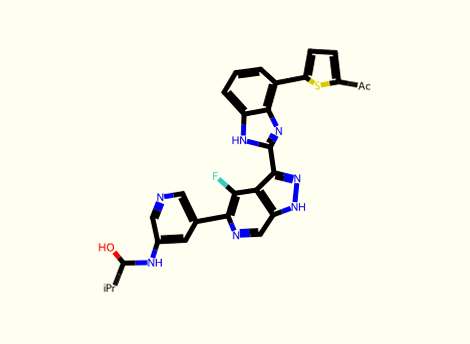 CC(=O)c1ccc(-c2cccc3[nH]c(-c4n[nH]c5cnc(-c6cncc(NC(O)C(C)C)c6)c(F)c45)nc23)s1